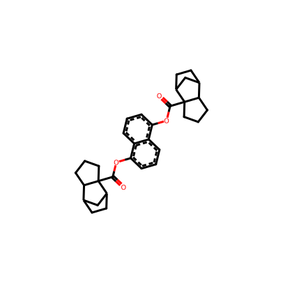 O=C(Oc1cccc2c(OC(=O)C34CCCC3C3CCC4C3)cccc12)C12CCCC1C1CCC2C1